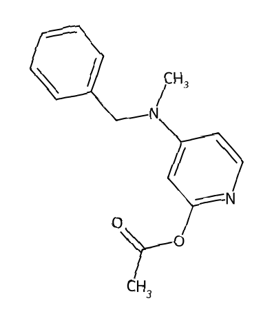 CC(=O)Oc1cc(N(C)Cc2ccccc2)ccn1